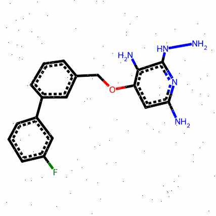 NNc1nc(N)cc(OCc2cccc(-c3cccc(F)c3)c2)c1N